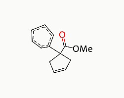 COC(=O)C1(c2ccccc2)CC=CC1